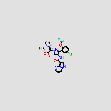 CN(C)/C=C(\C(=O)O)n1cc(NC(=O)c2cnn3cccnc23)c(-c2cc(Cl)ccc2OC(F)F)n1